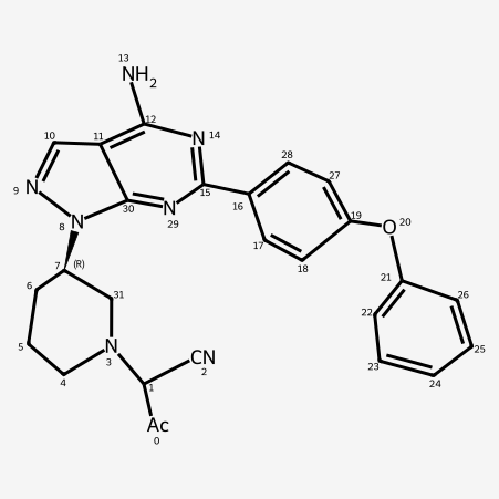 CC(=O)C(C#N)N1CCC[C@@H](n2ncc3c(N)nc(-c4ccc(Oc5ccccc5)cc4)nc32)C1